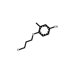 Cc1cc(C#N)ccc1OCCCCl